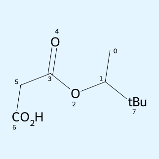 CC(OC(=O)CC(=O)O)C(C)(C)C